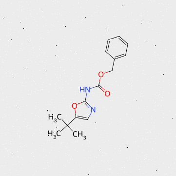 CC(C)(C)c1cnc(NC(=O)OCc2ccccc2)o1